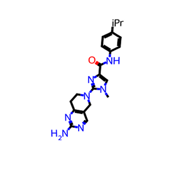 CC(C)c1ccc(NC(=O)c2cn(C)c(N3CCc4nc(N)ncc4C3)n2)cc1